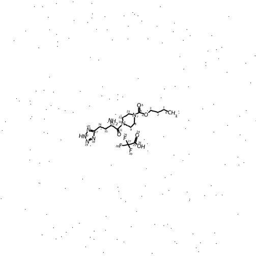 CCCCOC(=O)N1CCN(C(=O)[C@@H](N)CCc2nn[nH]n2)CC1.O=C(O)C(F)(F)F